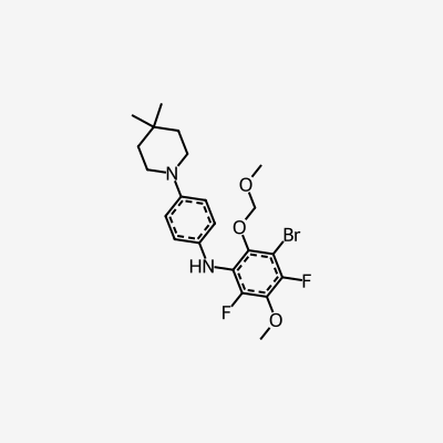 COCOc1c(Br)c(F)c(OC)c(F)c1Nc1ccc(N2CCC(C)(C)CC2)cc1